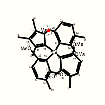 COc1ccc(C)c(OC)c1[Si](C1=C(C)C(C)=C(C)C1C)(c1c(OC)ccc(C)c1OC)c1c(OC)ccc(C)c1OC